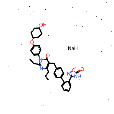 CCCc1nc(CC)n(-c2ccc(O[C@H]3CC[C@H](O)CC3)cc2)c(=O)c1Cc1ccc(-c2ccccc2-c2noc(=O)[nH]2)cc1.[NaH]